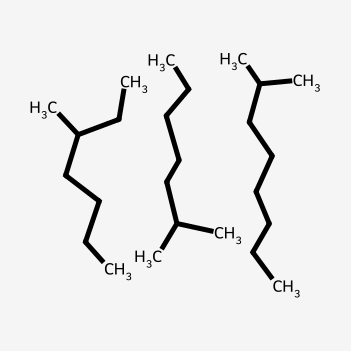 CCCCC(C)CC.CCCCCC(C)C.CCCCCCC(C)C